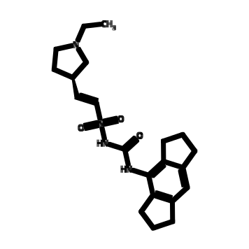 CCN1CC[C@H](/C=C/S(=O)(=O)NC(=O)Nc2c3c(cc4c2CCC4)CCC3)C1